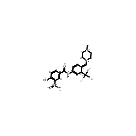 CN1CCN(C=C2C=CC(NC(=O)c3ccc(O)c([N+](=O)[O-])c3)=CC2C(F)(F)F)CC1